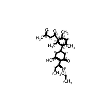 CCON=C(CC)C1=C(O)CC(c2c(C)cc(C)c(C(=O)CC(C)=O)c2C)CC1=O